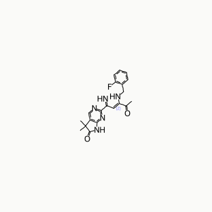 CC(=O)/C(=C/C(=N)c1ncc2c(n1)NC(=O)C2(C)C)NCc1ccccc1F